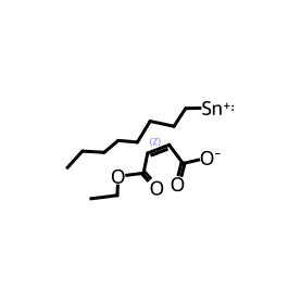 CCCCCCC[CH2][Sn+].CCOC(=O)/C=C\C(=O)[O-]